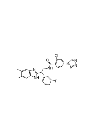 Cc1cc2nc(C(CNC(=O)c3ccc([C@@H]4C=NN=N4)cc3Cl)c3cccc(F)c3)[nH]c2cc1C